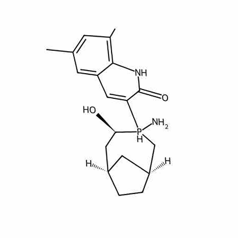 Cc1cc(C)c2[nH]c(=O)c([PH]3(N)C[C@H]4CC[C@H](C4)C[C@H]3O)cc2c1